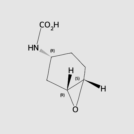 O=C(O)N[C@@H]1CC[C@@H]2O[C@@H]2C1